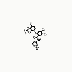 O=C(Nc1ccc[n+]([O-])c1)c1cc(Cl)c(Cl)cc1Oc1ccc(F)c2c1OC(F)(F)O2